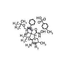 CC(C)C[C@@H](C(=O)NN)[C@H](C(=O)NO)C(/C=C/c1ccccc1)(CC(C)C)C(=O)[C@H](N)COC(C)(C)C.Cc1ccc(S(=O)(=O)O)cc1